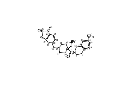 CC(C)CC1(C(=O)N2CCc3ncc(C(F)(F)F)cc3C2)CCN(Cc2ccc3c(c2)sc(=O)n3C)CC1